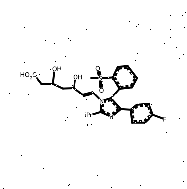 CC(C)c1nc(-c2ccc(F)cc2)c(-c2ccccc2S(C)(=O)=O)n1C=CC(O)CC(O)CC(=O)O